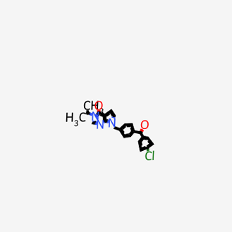 CC(C)n1cnc2c(ccn2Cc2ccc(C(=O)c3ccc(Cl)cc3)cc2)c1=O